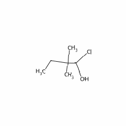 CCC(C)(C)C(O)Cl